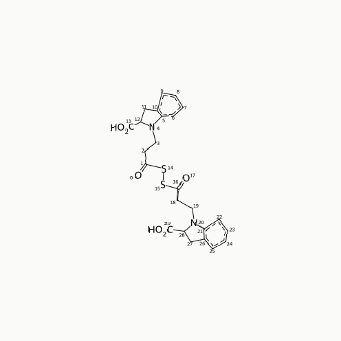 O=C(CCN1c2ccccc2CC1C(=O)O)SSC(=O)CCN1c2ccccc2CC1C(=O)O